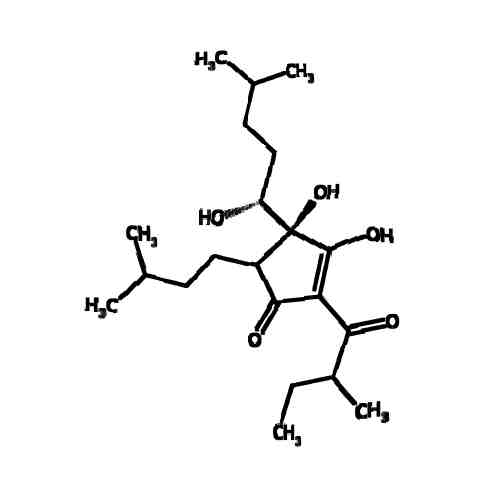 CCC(C)C(=O)C1=C(O)[C@@](O)([C@H](O)CCC(C)C)C(CCC(C)C)C1=O